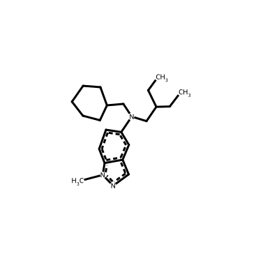 CCC(CC)CN(CC1CCCCC1)c1ccc2c(cnn2C)c1